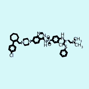 CN(C)CC[C@H](CSc1ccccc1)Nc1ccc(S(=O)(=O)Nc2ncnc3cc(N4CCN(CC5=C(c6ccc(Cl)cc6)CCCCC5)CC4)ccc23)cc1C(F)(F)F